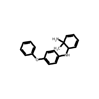 CC1(N)C=CC=CC1Nc1ccc(Oc2ccccc2)cc1